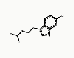 FC(F)OCCn1cnc2cc(Cl)ccc21